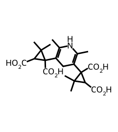 CC1=C(C2(C(=O)O)C(C(=O)O)C2(C)C)CC(C2(C(=O)O)C(C(=O)O)C2(C)C)=C(C)N1